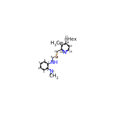 C=Nc1ccccc1NCSCc1nccc(CCCCCC)c1C